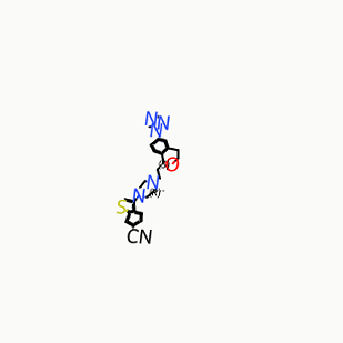 C[C@@H]1CN(c2csc3cc(C#N)ccc23)CCN1CC[C@@H]1OCCc2cc(-n3cncn3)ccc21